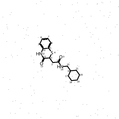 O=C(CC1Sc2ccccc2NC1=O)NCC1CCCCC1